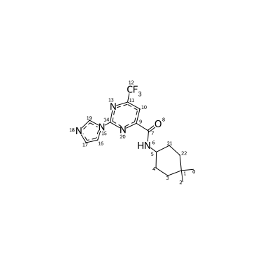 CC1(C)CCC(NC(=O)c2cc(C(F)(F)F)nc(-n3ccnc3)n2)CC1